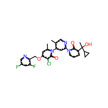 Cc1cnc(-n2cccc(C(C)(O)C3CC3)c2=O)cc1-n1c(C)cc(OCc2ncc(F)cc2F)c(Cl)c1=O